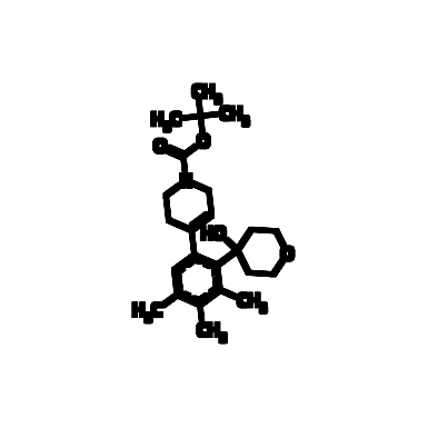 Cc1cc(C2=CCN(C(=O)OC(C)(C)C)CC2)c(C2(O)CCOCC2)c(C)c1C